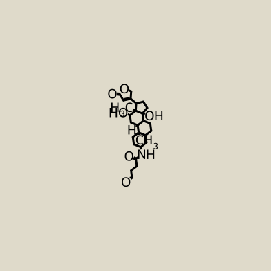 CC12CCC(NC(=O)CCC=O)CC1CCC1[C@@H]2CC(O)C2(C)C(C3=CC(=O)OC3)CCC12O